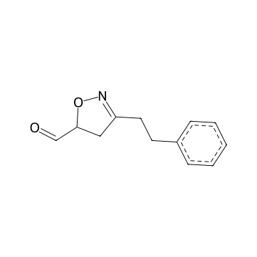 O=CC1CC(CCc2ccccc2)=NO1